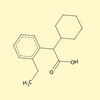 CCc1ccccc1C(C(=O)O)C1CCCCC1